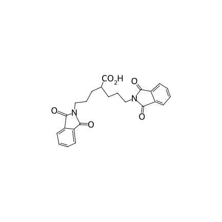 O=C(O)C(CCCN1C(=O)c2ccccc2C1=O)CCCN1C(=O)c2ccccc2C1=O